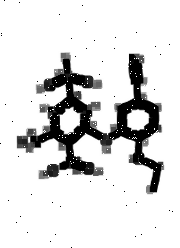 CCOc1ccc(C#N)cc1Oc1nc(S(C)(=O)=O)nc(N)c1[N+](=O)[O-]